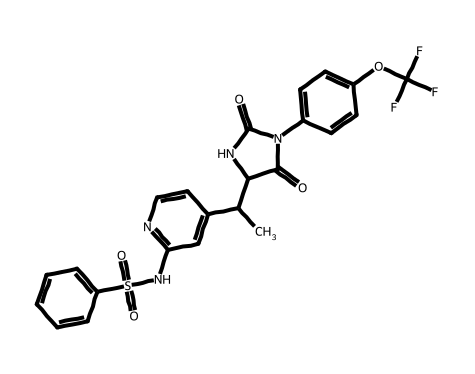 CC(c1ccnc(NS(=O)(=O)c2ccccc2)c1)C1NC(=O)N(c2ccc(OC(F)(F)F)cc2)C1=O